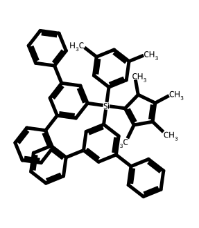 CC1=C(C)C(C)C([Si](c2cc(C)cc(C)c2)(c2cc(-c3ccccc3)cc(-c3ccccc3)c2)c2cc(-c3ccccc3)cc(-c3ccccc3)c2)=C1C